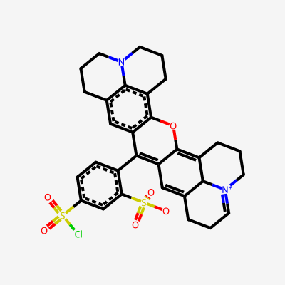 O=S(=O)([O-])c1cc(S(=O)(=O)Cl)ccc1C1=C2C=C3CCC=[N+]4CCCC(=C2Oc2c1cc1c5c2CCCN5CCC1)C34